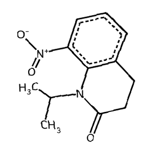 CC(C)N1C(=O)CCc2cccc([N+](=O)[O-])c21